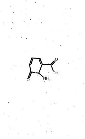 NC1C(=O)C=CC=C1C(=O)O